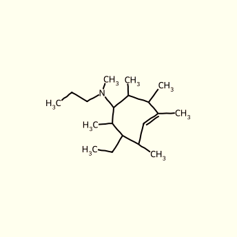 CCCN(C)C1C(C)C(C)/C(C)=C/C(C)C(CC)C1C